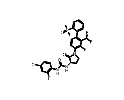 CP(C)(=O)c1ccccc1-c1ccc(N2CC[C@@H](NC(=O)Nc3ccc(Cl)cc3F)C2=O)c(F)c1C(F)F